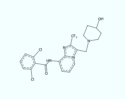 O=C(Nc1cccn2c(CN3CCC(O)CC3)c(C(F)(F)F)nc12)c1c(Cl)cccc1Cl